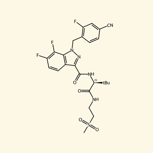 CC(C)(C)[C@H](NC(=O)c1nn(Cc2ccc(C#N)cc2F)c2c(F)c(F)ccc12)C(=O)NCCS(C)(=O)=O